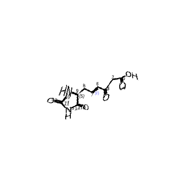 O=C(O)CC(=O)/C=C/C[C@@H]1NC(=O)NC1=O